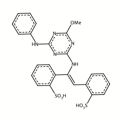 COc1nc(NC(=Cc2ccccc2S(=O)(=O)O)c2ccccc2S(=O)(=O)O)nc(Nc2ccccc2)n1